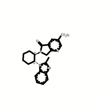 CCOC(=O)c1cnc2c(c1)C(=O)N([C@@H]1CCCC[C@H]1n1c(C)nc3ccccc31)C2